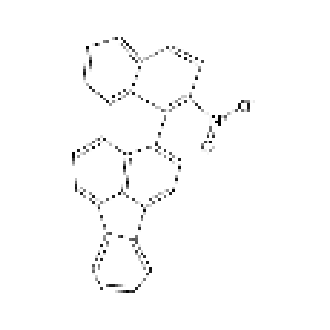 O=[N+]([O-])c1ccc2ccccc2c1-c1ccc2c3c(cccc13)-c1ccccc1-2